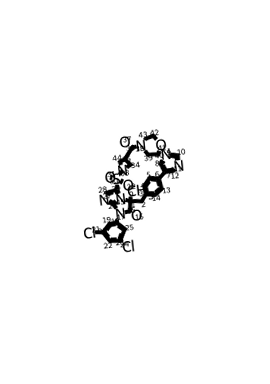 CC1(Cc2ccc(-c3cncnc3)cc2)C(=O)N(c2cc(Cl)cc(Cl)c2)c2ncc(S(=O)(=O)N3CC(C(=O)N4CCOCC4)C3)n21